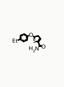 CCc1ccc(OC2CC=C(C(N)=O)S2)cc1